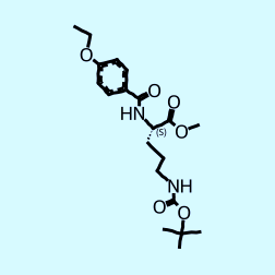 CCOc1ccc(C(=O)N[C@@H](CCCNC(=O)OC(C)(C)C)C(=O)OC)cc1